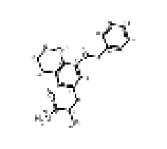 CC(C)C(Cc1cc2c(c(OCc3ccccc3)c1)OCCC2)C(N)=O